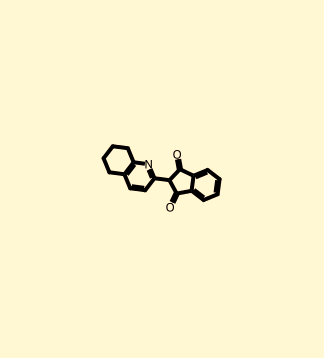 O=C1c2ccccc2C(=O)C1c1ccc2c(n1)CCCC2